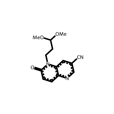 COC(CCn1c(=O)ccc2ncc(C#N)cc21)OC